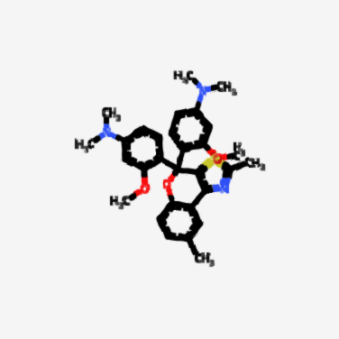 COc1cc(N(C)C)ccc1C1(c2ccc(N(C)C)cc2OC)Oc2ccc(C)cc2-c2nc(C)sc21